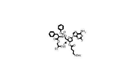 C#C[C@]1(CO[P@@](=O)(NC(Cc2ccccc2)C(=O)OCC(CC)CC)Oc2ccccc2)O[C@@H](n2cnc3c(N)nc(F)nc32)C[C@@H]1OC(=O)CCCCCCCCCCCCC